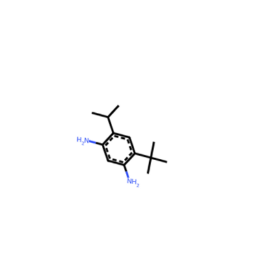 CC(C)c1cc(C(C)(C)C)c(N)cc1N